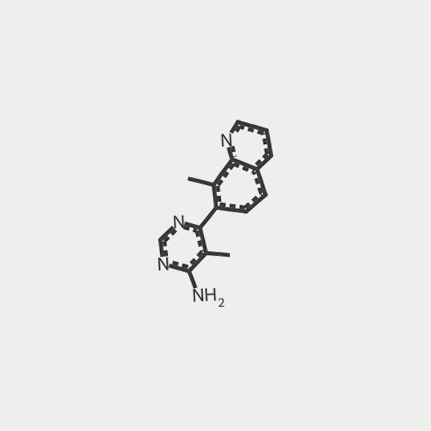 Cc1c(N)ncnc1-c1ccc2cccnc2c1C